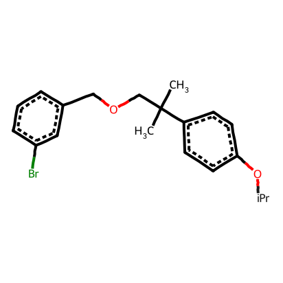 CC(C)Oc1ccc(C(C)(C)COCc2cccc(Br)c2)cc1